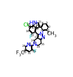 Cc1cccc(C)c1-n1nc2c(c1-c1c(F)cc(Cl)c3[nH]ccc13)CN(c1ncc(C(F)(F)F)cc1F)CC2